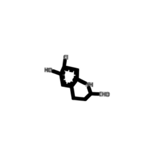 O=CC1CCc2cc(O)c(Cl)cc2N1